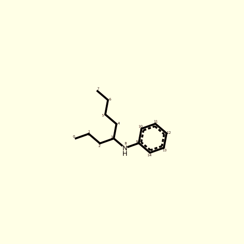 C[CH]CC(CCCC)Nc1ccccc1